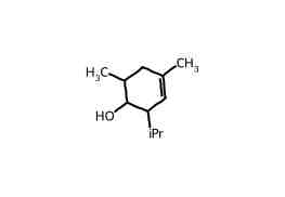 CC1=CC(C(C)C)C(O)C(C)C1